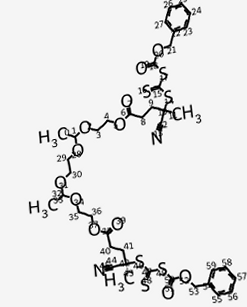 CC(OCCOC(=O)CCC(C)(C#N)SC(=S)SC(=O)OCc1ccccc1)OCCOC(C)OCCOC(=O)CC[C@](C)(C#N)SC(=S)SC(=O)OCc1ccccc1